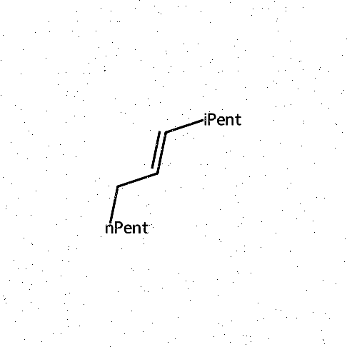 [CH2]CCCCCC=CC(C)CC[CH2]